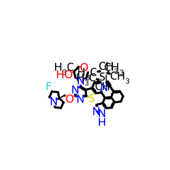 CC(C)[Si](C#CC1=CCCc2cc3[nH]ncc3c(-c3nccc4c3sc3nc(OC[C@@]56CCCN5C[C@H](F)C6)nc(N5CCOC[C@@](C)(O)C5)c34)c21)(C(C)C)C(C)C